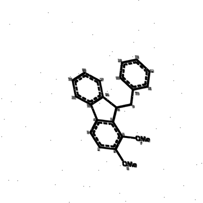 COc1ccc2c(c1OC)C(Cc1ccccc1)c1ccccc1-2